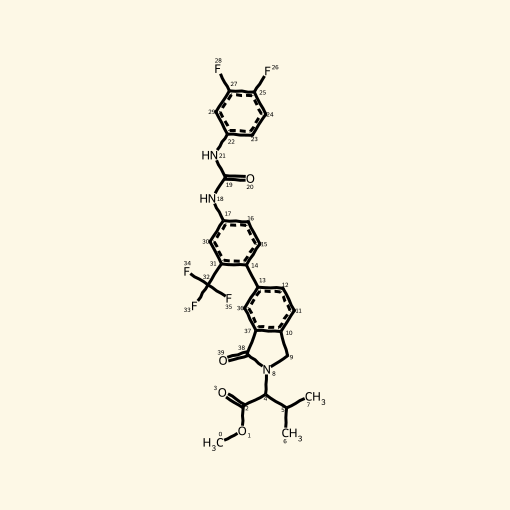 COC(=O)C(C(C)C)N1Cc2ccc(-c3ccc(NC(=O)Nc4ccc(F)c(F)c4)cc3C(F)(F)F)cc2C1=O